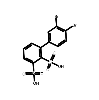 O=S(=O)(O)c1cccc(-c2ccc(Br)c(Br)c2)c1S(=O)(=O)O